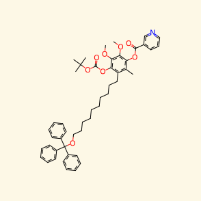 COc1c(OC(=O)c2cccnc2)c(C)c(CCCCCCCCCCOC(c2ccccc2)(c2ccccc2)c2ccccc2)c(OC(=O)OC(C)(C)C)c1OC